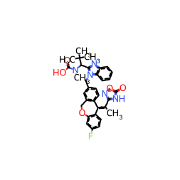 C/C(=C1/c2ccc(Cn3c(C(N(C)C(=O)O)C(C)(C)C)nc4ccccc43)cc2COc2cc(F)ccc21)c1noc(=O)[nH]1